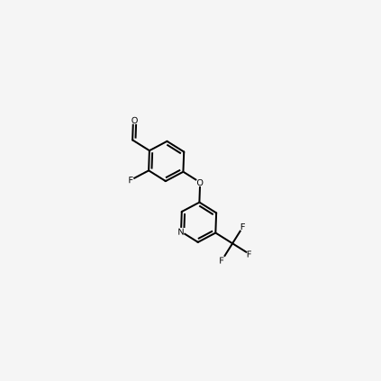 O=Cc1ccc(Oc2cncc(C(F)(F)F)c2)cc1F